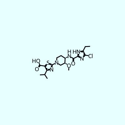 CCc1[nH]c(C(=O)N[C@@H]2CCN(c3nc(C(C)C)c(C(=O)O)s3)C[C@@H]2OC)nc1Cl